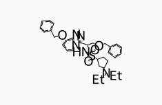 CCN(CC)C1CCC(S(=O)(=O)NC(COCc2ccccc2)c2nnc3c(OCc4ccccc4)cccn23)C1